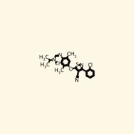 Cc1cc(Oc2snc(-c3ccccc3Cl)c2C#N)c(C)cc1/N=C\N(C)C(C)C